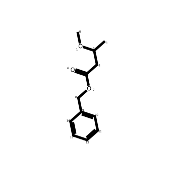 COC(C)CC(=O)OCc1ccccc1